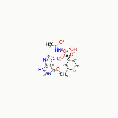 CC(=O)NO[As](=O)(OO)c1ccccc1.COc1nc[nH]c2ncc(I)c1-2